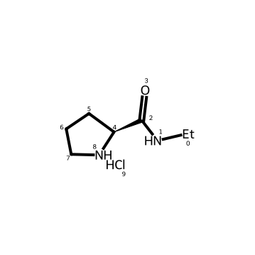 CCNC(=O)[C@@H]1CCCN1.Cl